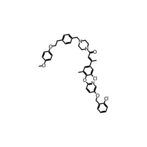 COc1ccc(OCCc2ccc(CN3CCN(C(=O)/C=C(\C)c4cc(C)c(Oc5ccc(OCc6ccccc6Cl)cn5)c(Cl)c4)CC3)cc2)cc1